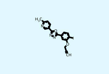 C#CCOc1cc(-c2nnc(-c3ccc(C)nc3)o2)ccc1I